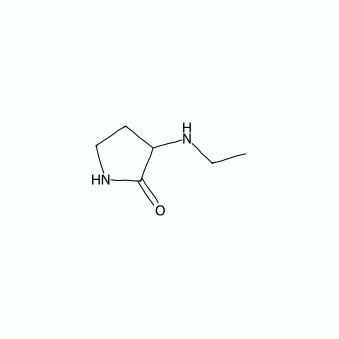 CCNC1CCNC1=O